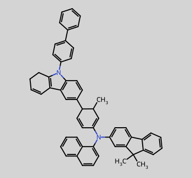 CC1C=C(N(c2ccc3c(c2)C(C)(C)c2ccccc2-3)c2cccc3ccccc23)C=CC1c1ccc2c(c1)c1c(n2-c2ccc(-c3ccccc3)cc2)CCC=C1